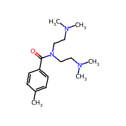 Cc1ccc(C(=O)N(CCN(C)C)CCN(C)C)cc1